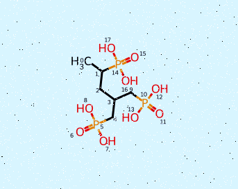 CC(CC(CP(=O)(O)O)CP(=O)(O)O)P(=O)(O)O